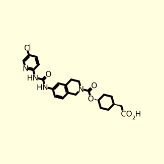 O=C(O)C[C@H]1CC[C@H](OC(=O)N2CCc3cc(NC(=O)Nc4ccc(Cl)cn4)ccc3C2)CC1